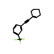 FC(F)(F)c1cccc(C#CC2=CCCCC2)c1